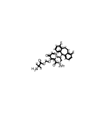 CCCN1C[C@H](C2c3cccc(F)c3CCc3c(F)cccc32)n2ncc(=O)c(OCOC(=O)C(C)(C)N)c2C1=O